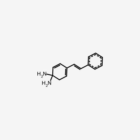 NC1(N)C=CC(C=Cc2ccccc2)=CC1